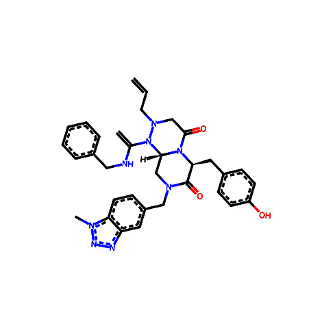 C=CCN1CC(=O)N2[C@@H](Cc3ccc(O)cc3)C(=O)N(Cc3ccc4c(c3)nnn4C)C[C@@H]2N1C(=C)NCc1ccccc1